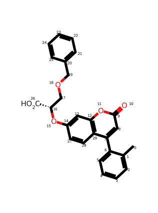 Cc1ccccc1-c1cc(=O)oc2cc(O[C@@H](COCc3ccccc3)C(=O)O)ccc12